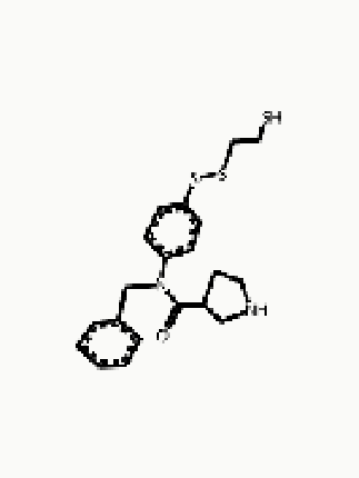 O=C(C1CCNC1)N(Cc1ccccc1)c1ccc(SSCCS)cc1